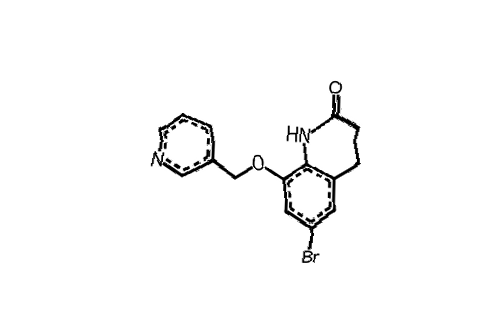 O=C1CCc2cc(Br)cc(OCc3cccnc3)c2N1